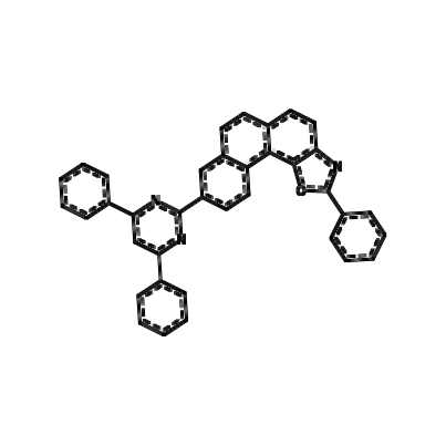 c1ccc(-c2cc(-c3ccccc3)nc(-c3ccc4c(ccc5ccc6nc(-c7ccccc7)oc6c54)c3)n2)cc1